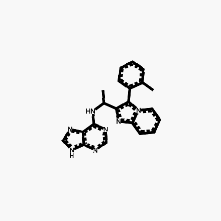 Cc1ccccc1-c1c(C(C)Nc2ncnc3[nH]cnc23)nc2ccccn12